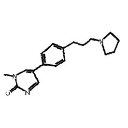 Cn1cc(-c2ccc(CCCN3CCCC3)cc2)cnc1=O